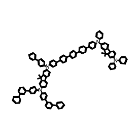 CC1(C)c2cc(N(c3ccccc3)c3ccccc3)ccc2-c2ccc(N(c3ccccc3)c3ccc(-c4ccc(-c5ccc(-c6ccc(-c7ccc(N(c8ccc(-c9ccccc9)cc8)c8ccc9c(c8)C(C)(C)c8cc(N(c%10ccc(-c%11cccc(-c%12ccccc%12)c%11)cc%10)c%10ccc(-c%11cccc(-c%12ccccc%12)c%11)cc%10)ccc8-9)cc7)cc6)cc5)cc4)cc3)cc21